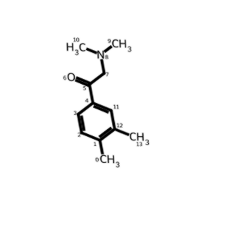 Cc1ccc(C(=O)CN(C)C)cc1C